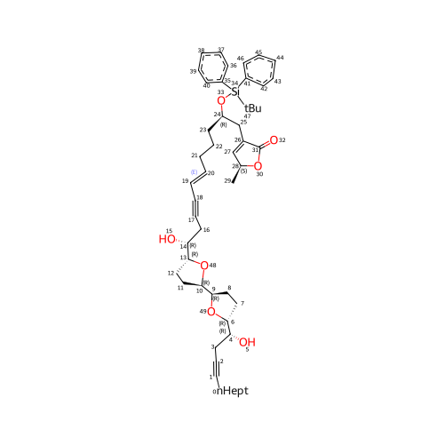 CCCCCCCC#CC[C@@H](O)[C@H]1CC[C@H]([C@H]2CC[C@H]([C@H](O)CC#C/C=C/CCC[C@H](CC3=C[C@H](C)OC3=O)O[Si](c3ccccc3)(c3ccccc3)C(C)(C)C)O2)O1